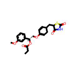 CCC(=O)O[C@@H](COC1=CCC(CC2SC(=O)NC2=O)C=C1)c1cccc(OC)c1